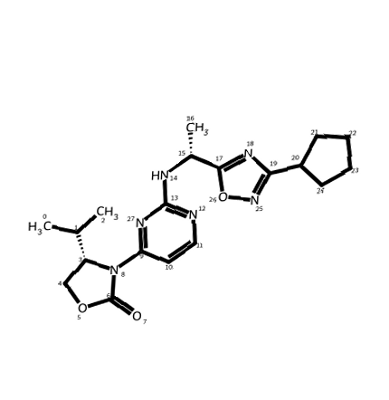 CC(C)[C@H]1COC(=O)N1c1ccnc(N[C@H](C)c2nc(C3CCCC3)no2)n1